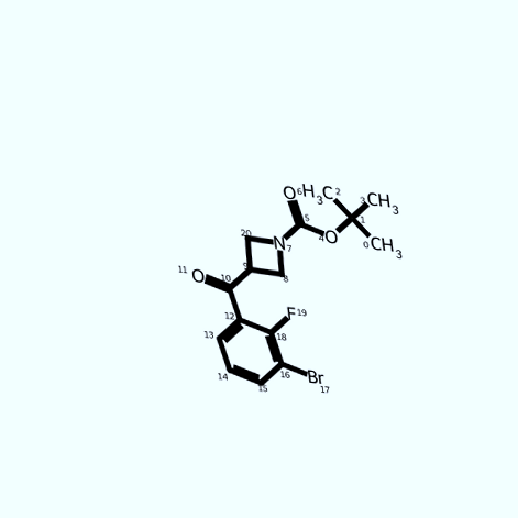 CC(C)(C)OC(=O)N1CC(C(=O)c2cccc(Br)c2F)C1